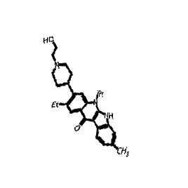 CCc1cc2c(=O)c3c4ccc(C)cc4[nH]c3n(C(C)C)c2cc1C1CCN(CCO)CC1